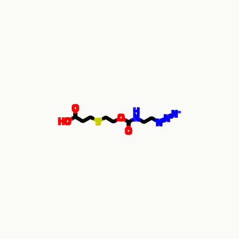 [N-]=[N+]=NCCNC(=O)OCCSCCC(=O)O